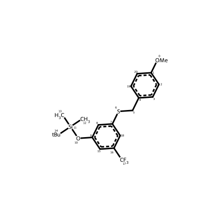 COc1ccc(CSc2cc(O[Si](C)(C)C(C)(C)C)cc(C(F)(F)F)c2)cc1